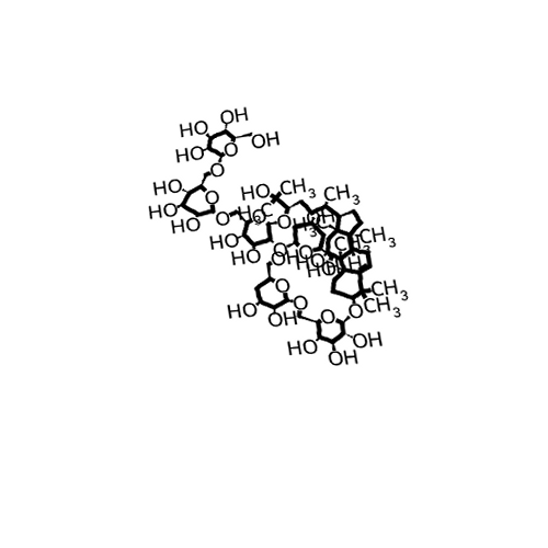 C[C@H](CC[C@@H](O[C@@H]1O[C@H](CO[C@@H]2O[C@H](CO[C@@H]3O[C@H](CO)[C@@H](O)[C@H](O)[C@H]3O)[C@@H](O)[C@H](O)[C@H]2O)[C@@H](O)[C@H](O)[C@H]1O[C@H]1C[C@@H](O)C[C@@H](CO)O1)C(C)(C)O)[C@H]1CC[C@@]2(C)[C@@H]3CC=C4[C@@H](CC[C@H](O[C@@H]5O[C@H](CO[C@@H]6O[C@H](CO)C[C@H](O)[C@H]6O)[C@@H](O)[C@H](O)[C@H]5O)C4(C)C)[C@]3(C)[C@H](O)C[C@]12C